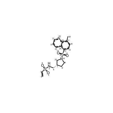 C=CS(=O)(=O)NC[C@H]1CCN(S(=O)(=O)c2ccc(C)c3ncccc23)C1